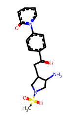 CS(=O)(=O)N1CC(N)C(CC(=O)c2ccc(-n3ccccc3=O)cc2)C1